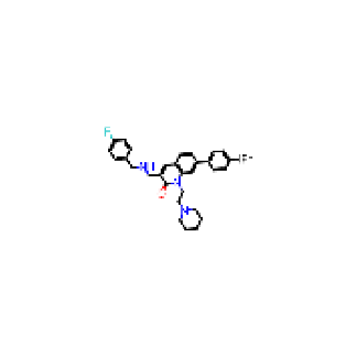 CC(C)c1ccc(-c2ccc3cc(CNCc4ccc(F)cc4)c(=O)n(CCN4CCCCC4)c3c2)cc1